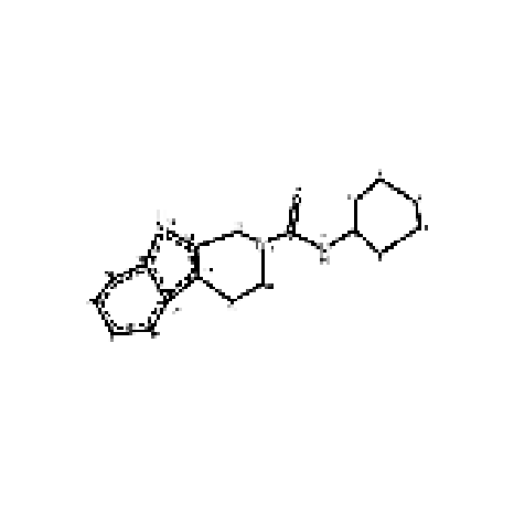 O=C(NC1CCCCC1)N1CCc2c([nH]c3ccccc23)C1